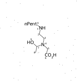 CCCCCNCCN(CC(=O)O)C(C)O